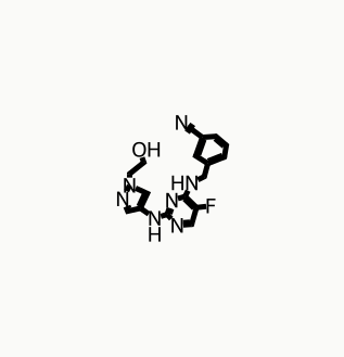 N#Cc1cccc(CNc2nc(Nc3cnn(CCO)c3)ncc2F)c1